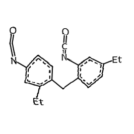 CCc1ccc(Cc2ccc(N=C=O)cc2CC)c(N=C=O)c1